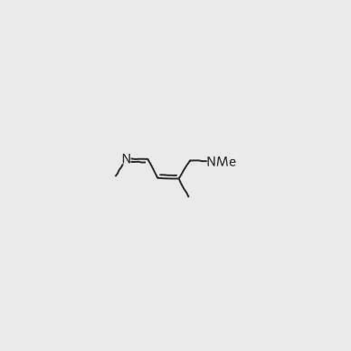 C/N=C\C=C(\C)CNC